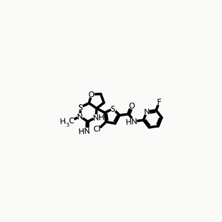 CN1SC2OCCC2(c2sc(C(=O)Nc3cccc(F)n3)cc2Cl)NC1=N